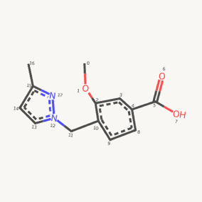 COc1cc(C(=O)O)ccc1Cn1ccc(C)n1